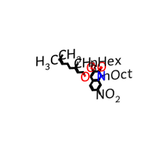 CCCCCCCCn1c(=O)c(OCCCCCC)c(OC/C=C(\C)CCC=C(C)C)c2ccc([N+](=O)[O-])cc21